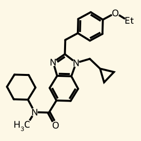 CCOc1ccc(Cc2nc3cc(C(=O)N(C)C4CCCCC4)ccc3n2CC2CC2)cc1